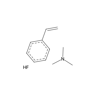 C=Cc1ccccc1.CN(C)C.F